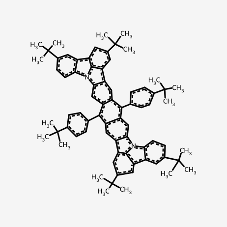 CC(C)(C)c1ccc(-c2c3cc4c5cc(C(C)(C)C)cc6c7cc(C(C)(C)C)ccc7n(c4cc3c(-c3ccc(C(C)(C)C)cc3)c3cc4c7cc(C(C)(C)C)cc8c9cc(C(C)(C)C)ccc9n(c4cc23)c87)c65)cc1